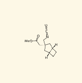 COC(=O)C[C@@]1(CN=C=O)C[C@H]2CC[C@H]2C1